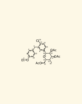 CCOc1ccc(Cc2cc([C@@H]3O[C@H](COC(C)=O)C(C)C(OC(C)=O)C3OC(C)=O)ccc2Cl)cc1